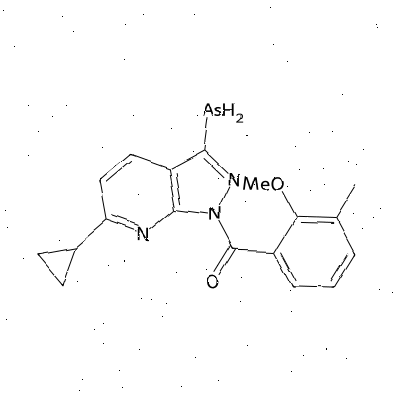 COc1c(C)cccc1C(=O)n1nc([AsH2])c2ccc(C3CC3)nc21